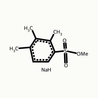 COS(=O)(=O)c1ccc(C)c(C)c1C.[NaH]